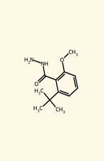 COc1cccc(C(C)(C)C)c1C(=O)NN